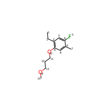 CCc1cc(F)c(C)cc1OCCCOC